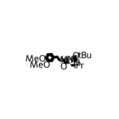 COc1ccc(CCNC(=O)[C@@H](CC(C)C)NC(=O)OC(C)(C)C)cc1OC